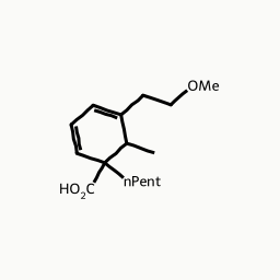 CCCCCC1(C(=O)O)C=CC=C(CCOC)C1C